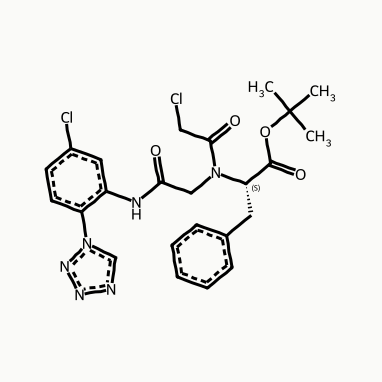 CC(C)(C)OC(=O)[C@H](Cc1ccccc1)N(CC(=O)Nc1cc(Cl)ccc1-n1cnnn1)C(=O)CCl